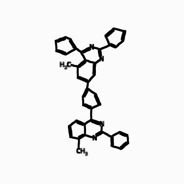 Cc1cccc2c(-c3ccc(-c4cc(C)c5c(-c6ccccc6)nc(-c6ccccc6)nc5c4)cc3)nc(-c3ccccc3)nc12